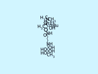 CCCCC(CC)(CC)C(O)C(c1cccc(NC(=O)CCCCNCC(O)C(O)C(O)C(C)O)c1)c1cc(N(C)C)ccc1C